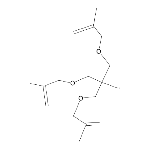 [CH2]C(COCC(=C)C)(COCC(=C)C)COCC(=C)C